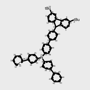 CC(C)(C)c1ccc2c(c1)-c1cc(C(C)(C)C)ccc1C2c1ccc(-c2ccc(N(c3ccc(-c4ccccc4)cc3)c3ccc(-c4ccccc4)cc3)cc2)cc1